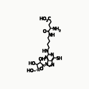 NC(CCC(=O)O)C(=O)NCCCCNc1nc(S)c2ncn([C@@H]3O[C@H](CO)C(O)C3O)c2n1